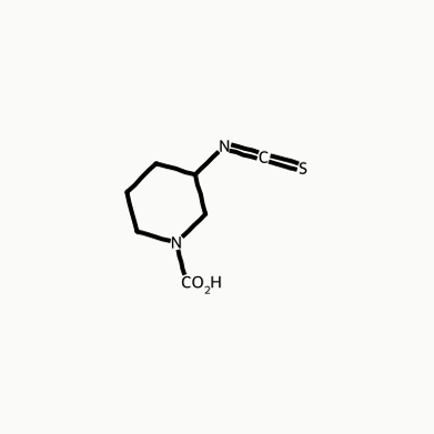 O=C(O)N1CCCC(N=C=S)C1